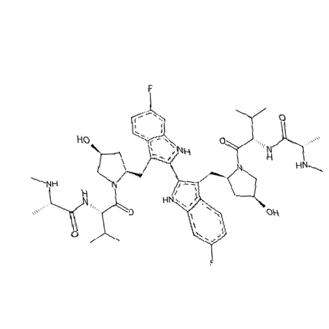 CN[C@@H](C)C(=O)N[C@H](C(=O)N1C[C@@H](O)C[C@H]1Cc1c(-c2[nH]c3cc(F)ccc3c2C[C@@H]2C[C@H](O)CN2C(=O)[C@@H](NC(=O)[C@H](C)NC)C(C)C)[nH]c2cc(F)ccc12)C(C)C